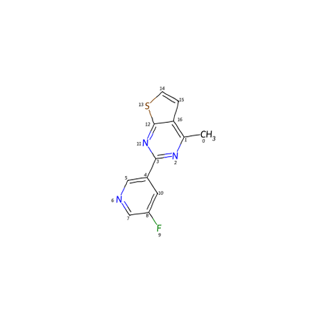 Cc1nc(-c2cncc(F)c2)nc2sccc12